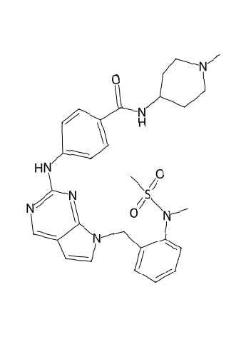 CN1CCC(NC(=O)c2ccc(Nc3ncc4ccn(Cc5ccccc5N(C)S(C)(=O)=O)c4n3)cc2)CC1